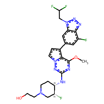 COc1nc(N[C@H]2CCN(CCO)C[C@H]2F)nn2ccc(-c3cc(F)c4nnn(CC(F)F)c4c3)c12